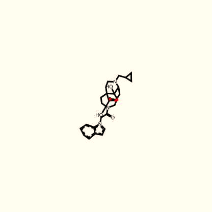 O=C(Cn1ccc2ccccc21)N1CCC23CCN(CC4CC4)C(Cc4ccc(O)cc42)C3(O)CC1